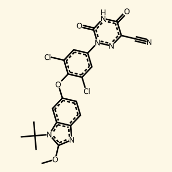 COc1nc2ccc(Oc3c(Cl)cc(-n4nc(C#N)c(=O)[nH]c4=O)cc3Cl)cc2n1C(C)(C)C